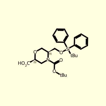 CC(C)(C)OC(=O)N1C[C@@H](C(=O)O)OC[C@H]1CO[Si](c1ccccc1)(c1ccccc1)C(C)(C)C